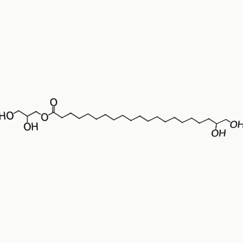 O=C(CCCCCCCCCCCCCCCCCCC(O)CO)OCC(O)CO